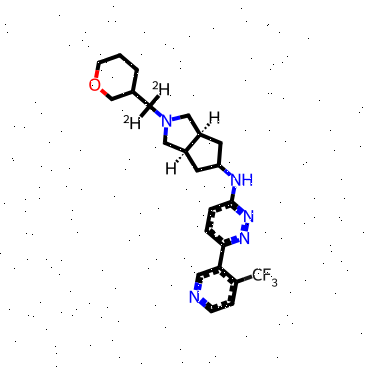 [2H]C([2H])(C1CCCOC1)N1C[C@H]2CC(Nc3ccc(-c4cnccc4C(F)(F)F)nn3)C[C@H]2C1